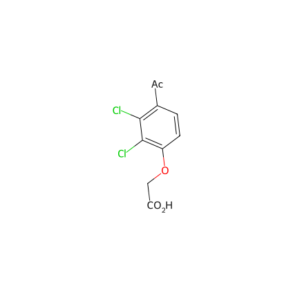 CC(=O)c1ccc(OCC(=O)O)c(Cl)c1Cl